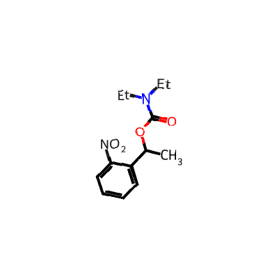 CCN(CC)C(=O)OC(C)c1ccccc1[N+](=O)[O-]